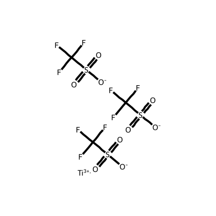 O=S(=O)([O-])C(F)(F)F.O=S(=O)([O-])C(F)(F)F.O=S(=O)([O-])C(F)(F)F.[Ti+3]